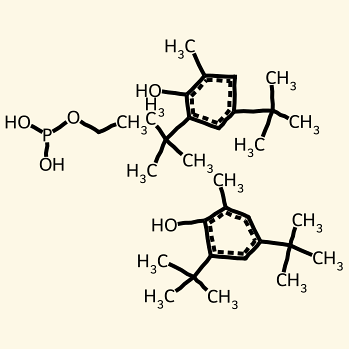 CCOP(O)O.Cc1cc(C(C)(C)C)cc(C(C)(C)C)c1O.Cc1cc(C(C)(C)C)cc(C(C)(C)C)c1O